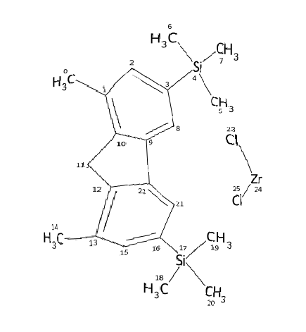 Cc1cc([Si](C)(C)C)cc2c1[CH]c1c(C)cc([Si](C)(C)C)cc1-2.[Cl][Zr][Cl]